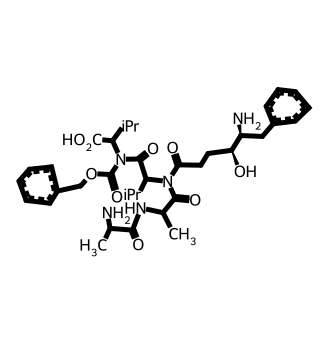 CC(N)C(=O)NC(C)C(=O)N(C(=O)CC[C@H](O)[C@@H](N)Cc1ccccc1)C(C(=O)N(C(=O)OCc1ccccc1)C(C(=O)O)C(C)C)C(C)C